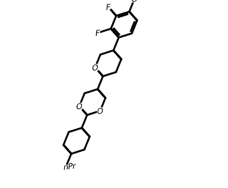 CCCC1CCC(C2OCC(C3CCC(c4ccc(OCC)c(F)c4F)CO3)CO2)CC1